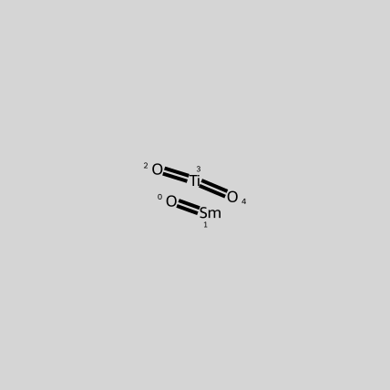 [O]=[Sm].[O]=[Ti]=[O]